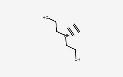 C=C.C=C.OCCNCCO